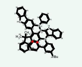 CCCCc1ccc(N2c3cc4c(c5c3B(c3sc6ccccc6c32)N(c2ccccc2)c2cc3c(cc2-5)oc2ccccc23)C(C)(C)c2ccccc2-4)c(-c2ccccc2)c1